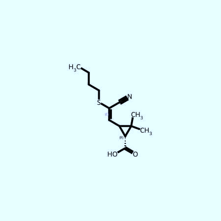 CCCCS/C(C#N)=C/C1[C@@H](C(=O)O)C1(C)C